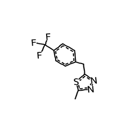 Cc1nnc(Cc2ccc(C(F)(F)F)cc2)s1